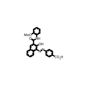 COc1ccccc1NC(=O)c1cc2ccccc2c(N=Nc2ccc(C(=O)O)cc2)c1O